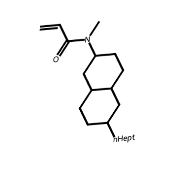 C=CC(=O)N(C)C1CCC2CC(CCCCCCC)CCC2C1